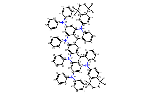 CC1(C)CCC(C)(C)c2cc(N3c4ccccc4B4c5cc6c(cc5N(c5ccccc5)c5cc(N(c7ccccc7)c7ccccc7)cc3c54)N(c3ccccc3)c3cc(N(c4ccccc4)c4ccccc4)cc4c3B6c3ccccc3N4c3ccc4c(c3)C(C)(C)CCC4(C)C)ccc21